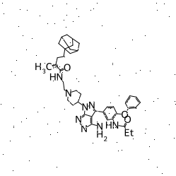 CCC(=O)Nc1cc(-c2nn(C3CCN(CCNC(=O)[C@@H](C)CCC45CC6CC(CC(C6)C4)C5)CC3)c3ncnc(N)c23)ccc1Oc1ccccc1